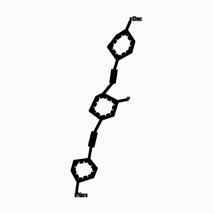 CCCCCCCCCCc1ccc(C#Cc2ccc(C#Cc3ccc(CCCCCCCCC)cc3)cc2F)cc1